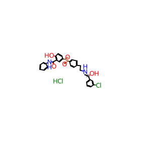 Cl.O=C(Nc1ccccc1)c1cc(S(=O)(=O)c2ccc(CCNC[C@H](O)c3cccc(Cl)c3)cc2)ccc1O